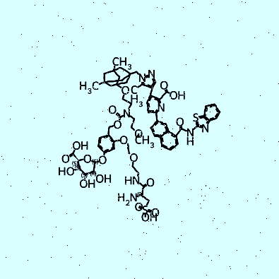 COCCN(CCOC12CC3(C)CC(C)(CC(Cn4ncc(-c5ccc(-c6ccc7cccc(C(=O)Nc8nc9ccccc9s8)c7c6)nc5C(=O)O)c4C)(C3)C1)C2)C(=O)OCc1ccc(O[C@@H]2O[C@H](C(=O)O)[C@@H](O)[C@H](O)[C@H]2O)cc1OCCOCCNC(=O)[C@@H](N)CS(=O)(=O)O